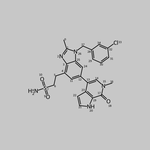 Cc1nc2c(CCS(N)(=O)=O)cc(-c3cn(C)c(=O)c4[nH]ccc34)cc2n1Cc1cccc(Cl)c1